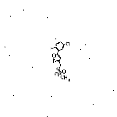 CS(=O)(=O)OCc1cc(-c2cc(Cl)ccc2F)on1